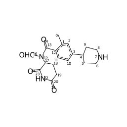 Cc1cc(C2CCNCC2)ccc1C(=O)N(C=O)C1CCC(=O)NC1=O